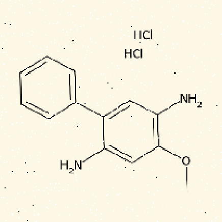 COc1cc(N)c(-c2ccccc2)cc1N.Cl.Cl